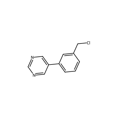 ClCc1cccc(-c2cncnc2)c1